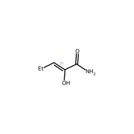 CC/C=C(\O)C(N)=O